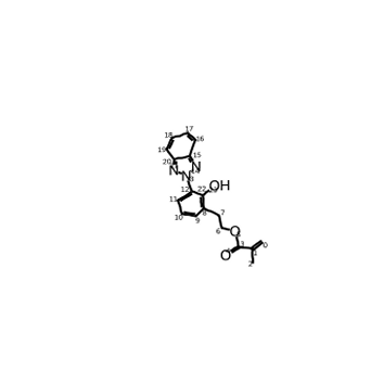 C=C(C)C(=O)OCCc1cccc(-n2nc3ccccc3n2)c1O